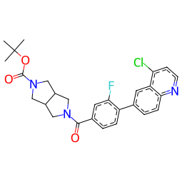 CC(C)(C)OC(=O)N1CC2CN(C(=O)c3ccc(-c4ccc5nccc(Cl)c5c4)c(F)c3)CC2C1